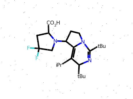 CC(C)C1=C2C(N3CC(F)(F)CC3C(=O)O)CCN2C(C(C)(C)C)=NC1C(C)(C)C